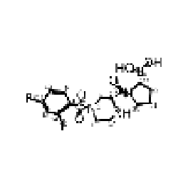 O=C([C@@H]1CN(S(=O)(=O)c2ccc(F)cc2F)CCN1)N1CCC[C@H]1B(O)O